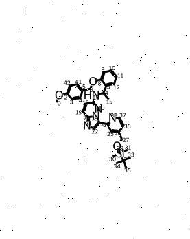 COc1ccc(COc2ccccc2C(C)Nc2ccc3ncc(-c4cc(CO[Si](C)(C)C(C)(C)C)ccn4)n3n2)cc1